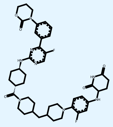 O=C1CCC(Nc2ccc(N3CCC(CC4CCN(C(=O)[C@H]5CC[C@H](Nc6ncc(F)c(-c7cccc(N8CCCOC8=O)c7)n6)CC5)CC4)CC3)c(F)c2)C(=O)N1